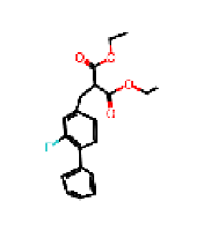 CCOC(=O)C(Cc1ccc(-c2ccccc2)c(F)c1)C(=O)OCC